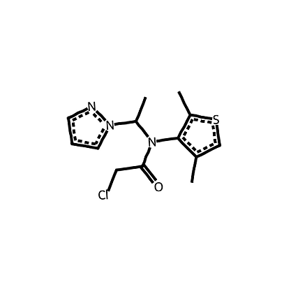 Cc1csc(C)c1N(C(=O)CCl)C(C)n1cccn1